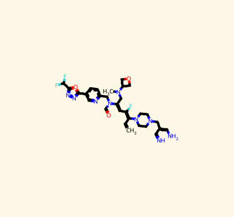 C=C/C(=C(F)\C=C(/CN(C)C1COC1)N(C=O)Cc1ccc(-c2nnc(C(F)F)o2)cn1)N1CCN(C/C(C=N)=C/N)CC1